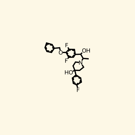 CC(C(O)c1cc(F)c(OCc2ccccc2)c(F)c1)N1CCC(O)(c2ccc(F)cc2)CC1